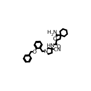 N#CC1(NC(=O)[CH]CC2(C(N)=O)CCCCC2)CCN(Cc2ccccc2OCc2ccccc2)C1